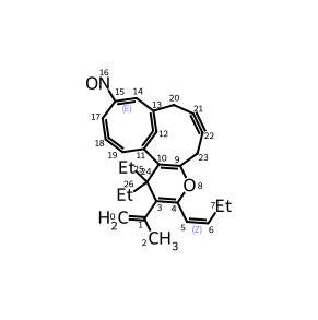 C=C(C)C1=C(/C=C\CC)OC2=C(C3=C=C(/C=C(/N=O)C=C=C3)CC#CC2)C1(CC)CC